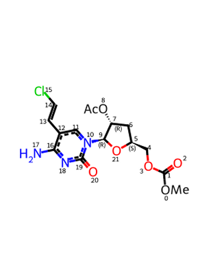 COC(=O)OC[C@@H]1C[C@@H](OC(C)=O)[C@H](n2cc(C=CCl)c(N)nc2=O)O1